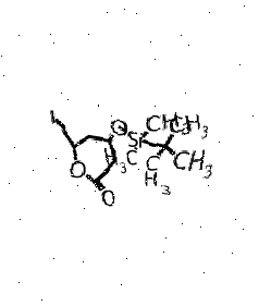 CC(C)(C)[Si](C)(C)OC1CC(=O)OC(CI)C1